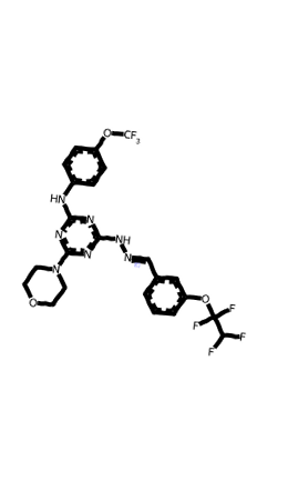 FC(F)C(F)(F)Oc1cccc(/C=N/Nc2nc(Nc3ccc(OC(F)(F)F)cc3)nc(N3CCOCC3)n2)c1